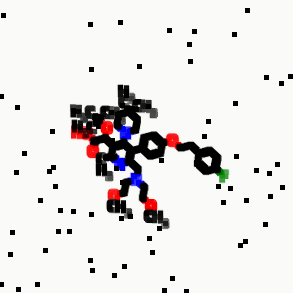 COCCN(CCOC)Cc1nc(C)c([C@H](OC(C)(C)C)C(=O)O)c(N2CCC(C)(C)CC2)c1-c1ccc(OCCc2ccc(F)cc2)cc1